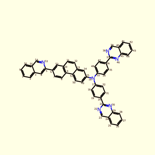 c1ccc2cc(-c3ccc4c(ccc5cc(N(c6ccc(-c7ncc8ccccc8n7)cc6)c6ccc(-c7ncc8ccccc8n7)cc6)ccc54)c3)ncc2c1